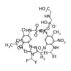 CCC(CC)Nc1c([N+](=O)[O-])cc(C)c(C)c1[N+](=O)[O-].C[S+](C)C.Cc1nn(-c2cc(NS(C)(=O)=O)c(Cl)cc2Cl)c(=O)n1C(F)F.O=C(O)CNCP(=O)([O-])O